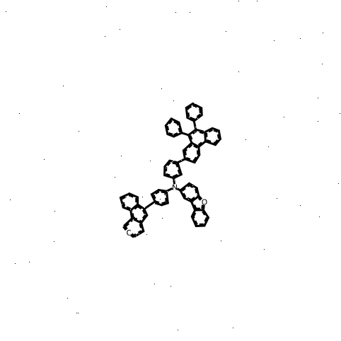 c1ccc(-c2c(-c3ccccc3)c3cc(-c4cccc(N(c5ccc(-c6cc7ccccc7c7ccccc67)cc5)c5ccc6oc7ccccc7c6c5)c4)ccc3c3ccccc23)cc1